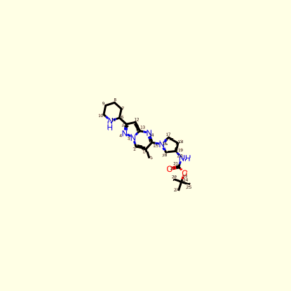 Cc1cn2nc(C3CCCCN3)cc2nc1N1CC[C@@H](NC(=O)OC(C)(C)C)C1